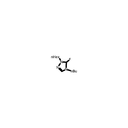 CCCCCCN1N=CN(CCCC)C1F